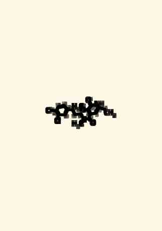 C=Cc1cc(C(=O)N(C)CCCc2ccc(Cl)c(Cl)c2)c(OC)c(=O)[nH]1